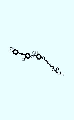 C=CC(=O)OCCCCCCOc1ccc(C(O)Oc2ccc(C#Cc3ccc(OC)cc3)c(Cl)c2)cc1